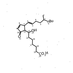 CCCCC(C)CCC=CC1C=CC(=O)C1C(O)CCCCCC(=O)O